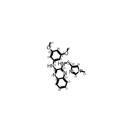 COc1cc(Nc2nc3ccccc3nc2NSc2cn(C)cn2)cc(OC)c1